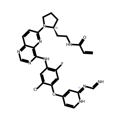 C=CC(=O)NCC[C@@H]1CCCN1c1ccc2ncnc(Nc3cc(Cl)c(Oc4cc[nH]/c(=N\C=N)c4)cc3F)c2n1